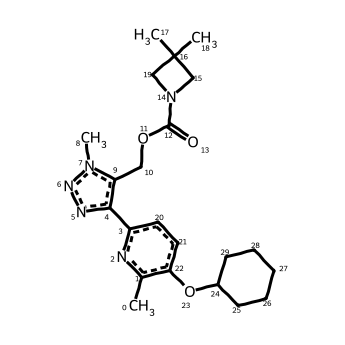 Cc1nc(-c2nnn(C)c2COC(=O)N2CC(C)(C)C2)ccc1OC1CCCCC1